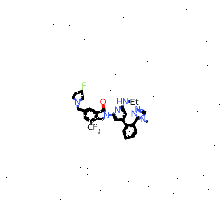 CCNc1cc(-c2ccccc2-c2nncn2C)cc(N2Cc3c(cc(CN4CC[C@H](F)C4)cc3C(F)(F)F)C2=O)n1